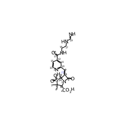 CC1(C)[C@H](C(=O)O)N2C(=O)/C(=C/c3cc(C(=O)NCCNC=N)ccn3)[C@H]2S1(=O)=O